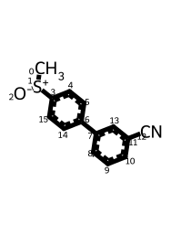 C[S+]([O-])c1ccc(-c2[c]ccc(C#N)c2)cc1